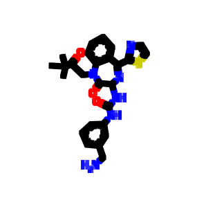 CC(C)(C)C(=O)CN1C(=O)C(NC(=O)Nc2cccc(CN)c2)N=C(c2nccs2)c2ccccc21